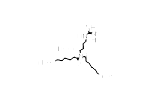 CCCCCCCCCCCCCCCC(=O)N(C(=O)CCCCCCCCCCCCCCC)[C@@H](CCCNC(=N)N)C(=O)O